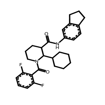 O=C(Nc1ccc2c(c1)CCC2)C1CCCN(C(=O)c2c(F)cccc2F)C1C1CCCCC1